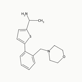 CC(N)c1ccc(-c2ccccc2CN2CCOCC2)s1